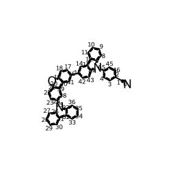 N#Cc1ccc(-n2c3ccccc3c3cc(-c4ccc5oc6ccc(-n7c8ccccc8c8ccccc87)cc6c5c4)ccc32)cc1